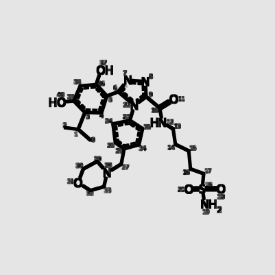 CC(C)c1cc(-c2nnc(C(=O)NCCCCCS(N)(=O)=O)n2-c2ccc(CN3CCOCC3)cc2)c(O)cc1O